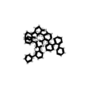 c1ccc(-c2ccccc2-c2ccccc2-c2ccc3c(c2-c2nc(-c4ccccc4)c4sc5c(-c6ccccc6)cccc5c4n2)-c2c4c(ccc2=N3)=c2ccccc2=N4)cc1